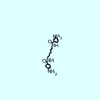 Nc1ccc(C(=O)NCCCCCCCNC(=O)c2cccc(N)c2)cc1